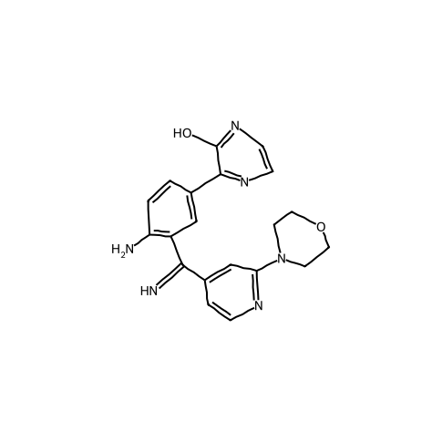 N=C(c1ccnc(N2CCOCC2)c1)c1cc(-c2nccnc2O)ccc1N